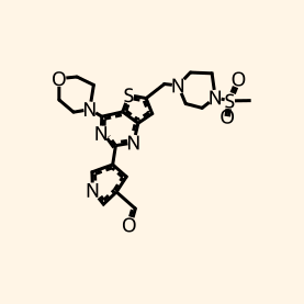 CS(=O)(=O)N1CCN(Cc2cc3nc(-c4cncc(C=O)c4)nc(N4CCOCC4)c3s2)CC1